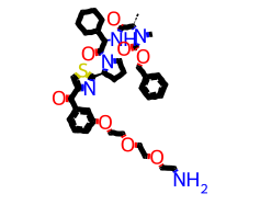 C[C@@H](C(=O)N[C@H](C(=O)N1CCC[C@H]1c1nc(C(=O)c2cccc(OCCOCCOCCN)c2)cs1)C1CCCCC1)N(C)C(=O)OCc1ccccc1